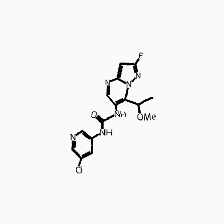 COC(C)c1c(NC(=O)Nc2cncc(Cl)c2)cnc2cc(F)nn12